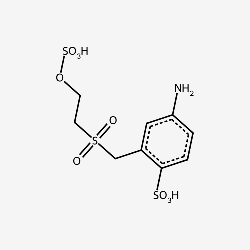 Nc1ccc(S(=O)(=O)O)c(CS(=O)(=O)CCOS(=O)(=O)O)c1